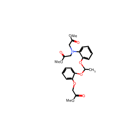 COC(=O)COc1ccccc1OC(C)Oc1ccccc1N(CC(=O)OC)CC(=O)OC